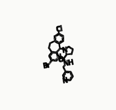 O=C(NCc1cccnc1)C1CCCN1C1c2ccc(Cl)cc2CCc2cc(Br)cnc21